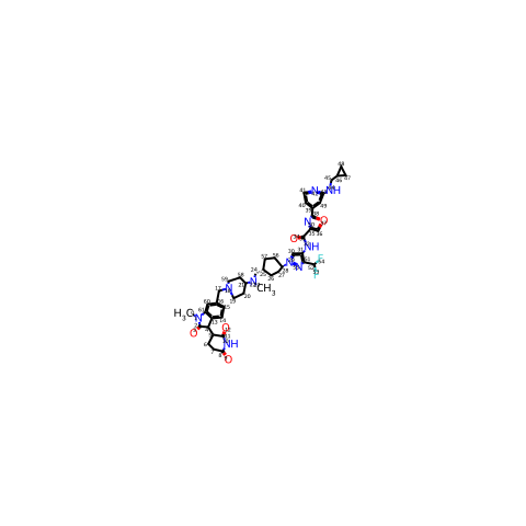 CN1C(=O)C(C2CCC(=O)NC2=O)c2ccc(CN3CCC(N(C)C[C@H]4CC[C@H](n5cc(NC(=O)c6coc(-c7ccnc(NCC8CC8)c7)n6)c(C(F)F)n5)CC4)CC3)cc21